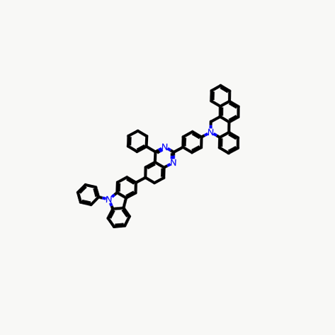 C1=CCCC(c2nc(-c3ccc(N4Cc5c(ccc6ccccc56)-c5ccccc54)cc3)nc3c2=CC(c2ccc4c(c2)c2ccccc2n4-c2ccccc2)CC=3)=C1